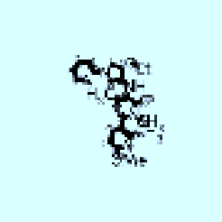 CCO[C@@H]1CN(c2ccccn2)C[C@H]1Nc1c(C)nc(-c2ccc(OC)nc2C)n(C)c1=O